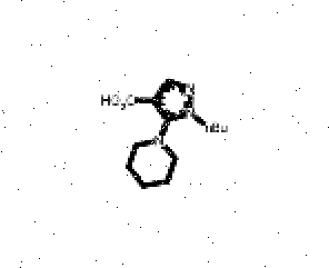 CCCCn1ncc(C(=O)O)c1N1CCCCC1